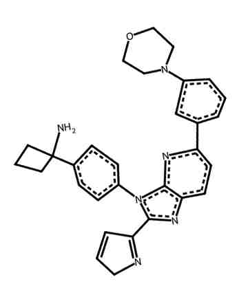 NC1(c2ccc(-n3c(C4=NCC=C4)nc4ccc(-c5cccc(N6CCOCC6)c5)nc43)cc2)CCC1